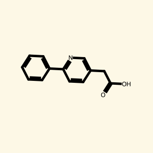 O=C(O)Cc1ccc(-c2ccccc2)nc1